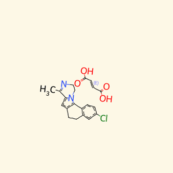 CC1=NCCn2c1cc1c2-c2ccc(Cl)cc2CC1.O=C(O)/C=C/C(=O)O